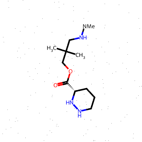 CNNCC(C)(C)COC(=O)[C@@H]1CCCNN1